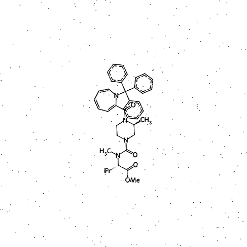 COC(=O)[C@H](C(C)C)N(C)C(=O)N1CCN(C(=O)C2=CC=CC=CN2C(c2ccccc2)(c2ccccc2)c2ccccc2)[C@@H](C)C1